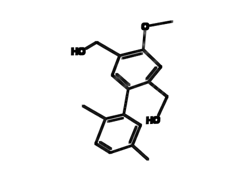 COc1cc(CO)c(-c2cc(C)ccc2C)cc1CO